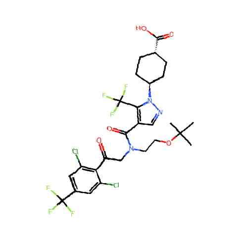 CC(C)(C)OCCN(CC(=O)c1c(Cl)cc(C(F)(F)F)cc1Cl)C(=O)c1cnn([C@H]2CC[C@H](C(=O)O)CC2)c1C(F)(F)F